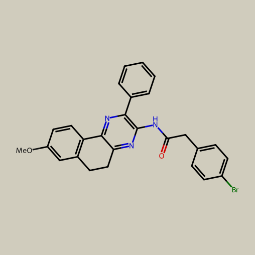 COc1ccc2c(c1)CCc1nc(NC(=O)Cc3ccc(Br)cc3)c(-c3ccccc3)nc1-2